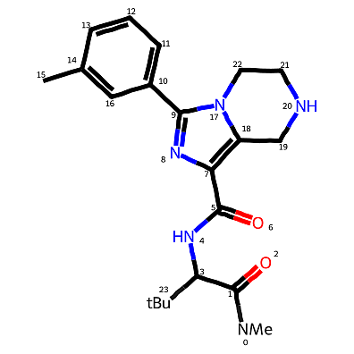 CNC(=O)C(NC(=O)c1nc(-c2cccc(C)c2)n2c1CNCC2)C(C)(C)C